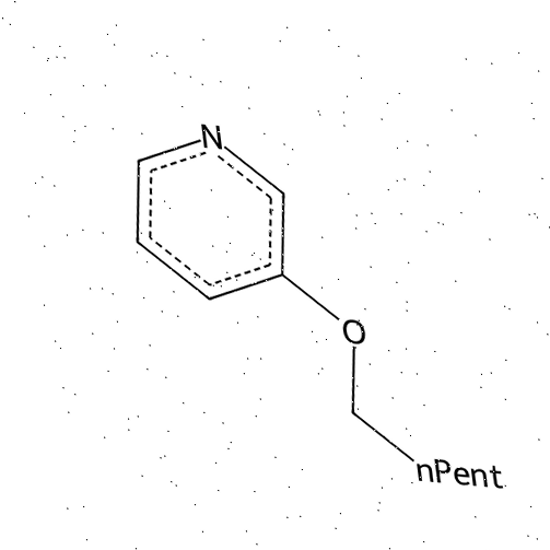 CC[CH]CCCOc1cccnc1